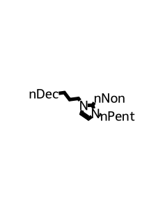 CCCCCCCCCCCCCN1C=CN(CCCCC)C1CCCCCCCCC